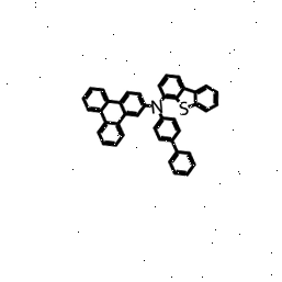 c1ccc(-c2ccc(N(c3ccc4c5ccccc5c5ccccc5c4c3)c3cccc4c3sc3ccccc34)cc2)cc1